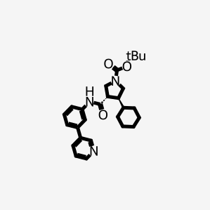 CC(C)(C)OC(=O)N1C[C@@H](C(=O)Nc2cccc(-c3cccnc3)c2)[C@H](C2CCCCC2)C1